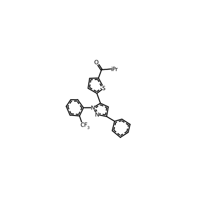 CC(C)C(=O)c1ccc(-c2cc(-c3ccccc3)nn2-c2ccccc2C(F)(F)F)s1